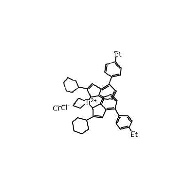 CCc1ccc(-c2cccc3c2C=C(C2CCCCC2)[CH]3[Ti+2]2([CH]3C(C4CCCCC4)=Cc4c(-c5ccc(CC)cc5)cccc43)[CH2]C[CH2]2)cc1.[Cl-].[Cl-]